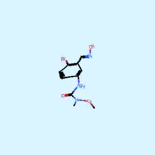 CON(C)C(=O)Nc1ccc(Br)c(C=NO)c1